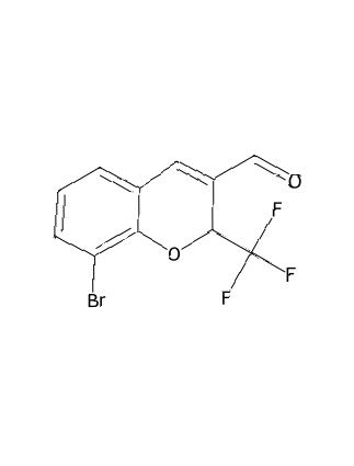 O=CC1=Cc2cccc(Br)c2OC1C(F)(F)F